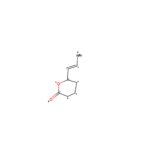 CCC/C=C/C1CCCC(=O)O1